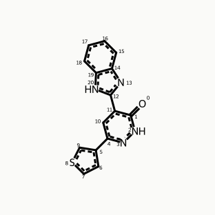 O=c1[nH]nc(-c2ccsc2)cc1-c1nc2ccccc2[nH]1